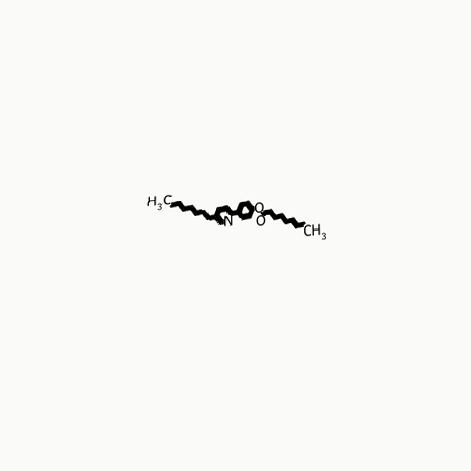 CCCCCCCCC(=O)Oc1ccc(-c2ccc(CCCCCCCC)cn2)cc1